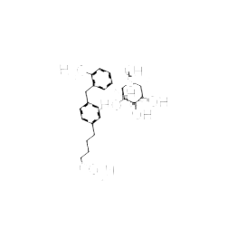 Cc1ccc([C@H]2[C@H](O)[C@H](O)[C@H](O)C[SH]2C)cc1Cc1ccc(CCCCC(=O)O)cc1